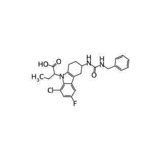 CCC(C(=O)O)n1c2c(c3cc(F)cc(Cl)c31)CC(NC(=O)NCc1ccccc1)CC2